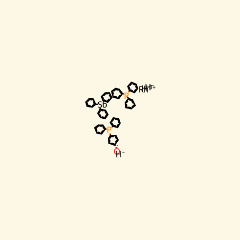 [C]=O.[H-].[H-].[H-].[Rh+3].c1cc[c]([Sb]([c]2ccccc2)[c]2ccccc2)cc1.c1ccc(P(c2ccccc2)c2ccccc2)cc1.c1ccc(P(c2ccccc2)c2ccccc2)cc1